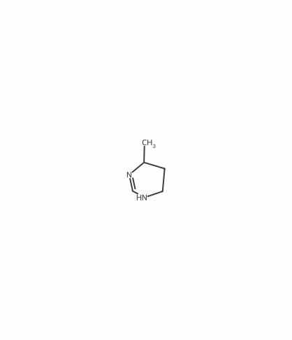 CC1CCNC=N1